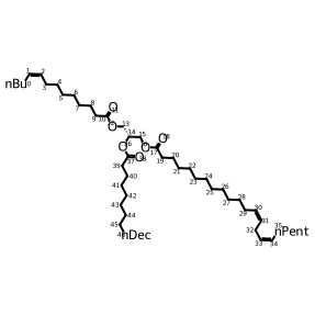 CCCC/C=C\CCCCCCCC(=O)OC[C@H](COC(=O)CCCCCCCCCCC/C=C\C/C=C\CCCCC)OC(=O)CCCCCCCCCCCCCCCCC